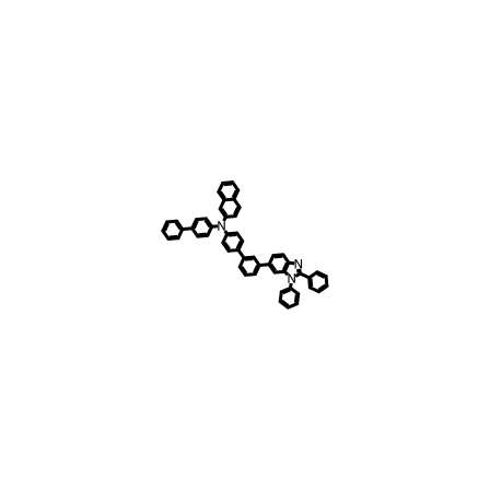 c1ccc(-c2ccc(N(c3ccc(-c4cccc(-c5ccc6nc(-c7ccccc7)n(-c7ccccc7)c6c5)c4)cc3)c3ccc4ccccc4c3)cc2)cc1